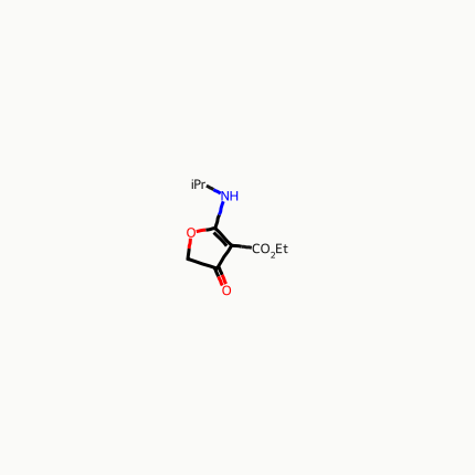 CCOC(=O)C1=C(NC(C)C)OCC1=O